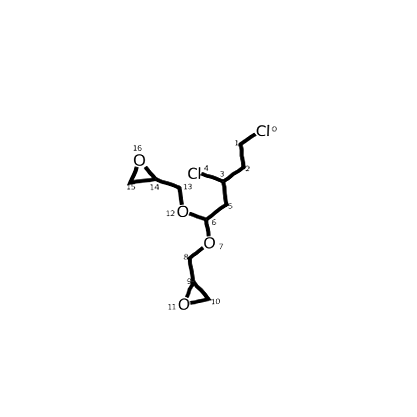 ClCCC(Cl)CC(OCC1CO1)OCC1CO1